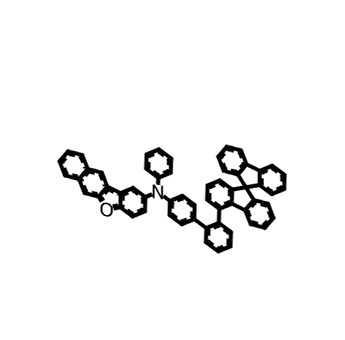 c1ccc(N(c2ccc(-c3ccccc3-c3cccc4c3-c3ccccc3C43c4ccccc4-c4ccccc43)cc2)c2ccc3oc4cc5ccccc5cc4c3c2)cc1